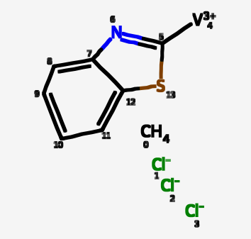 C.[Cl-].[Cl-].[Cl-].[V+3][c]1nc2ccccc2s1